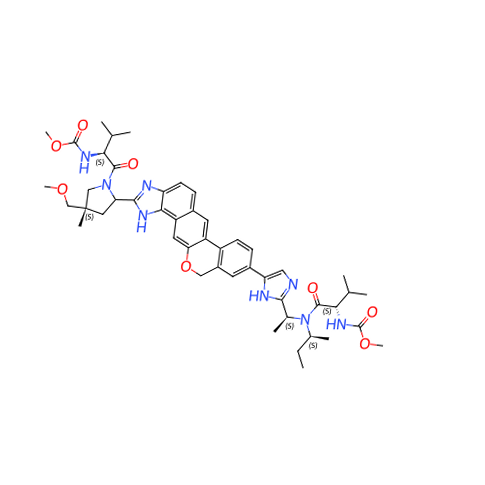 CC[C@H](C)N(C(=O)[C@@H](NC(=O)OC)C(C)C)[C@@H](C)c1ncc(-c2ccc3c(c2)COc2cc4c(ccc5nc(C6C[C@](C)(COC)CN6C(=O)[C@@H](NC(=O)OC)C(C)C)[nH]c54)cc2-3)[nH]1